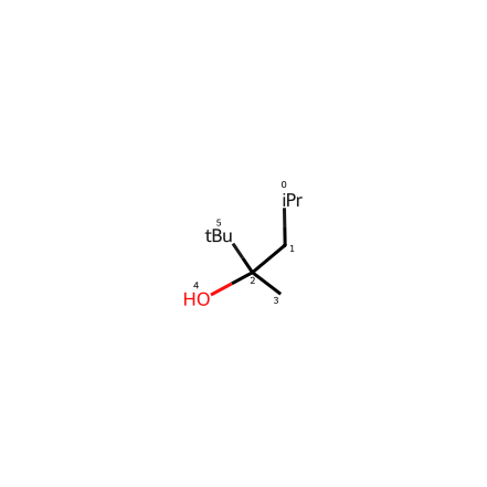 CC(C)CC(C)(O)C(C)(C)C